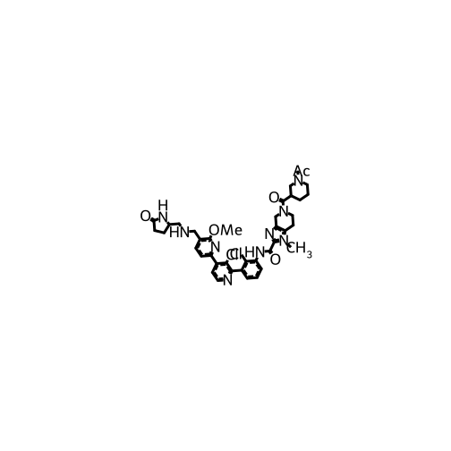 COc1nc(-c2ccnc(-c3cccc(NC(=O)c4nc5c(n4C)CCN(C(=O)C4CCCN(C(C)=O)C4)C5)c3Cl)c2Cl)ccc1CNCC1CCC(=O)N1